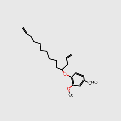 C=CCCCCCCCCC(CC=C)Oc1ccc(C=O)cc1OCC